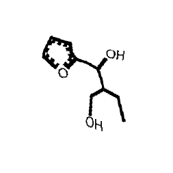 CCC(CO)C(O)c1ccco1